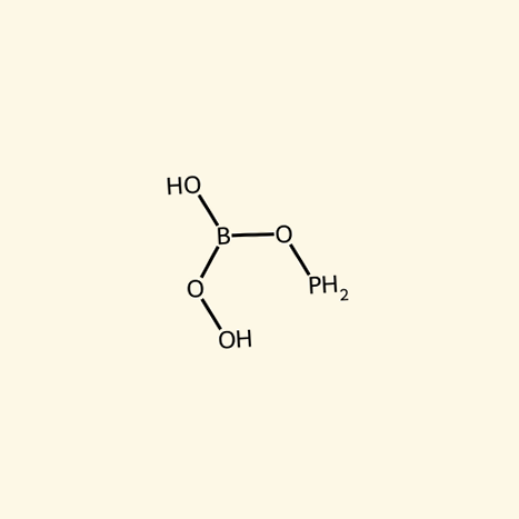 OOB(O)OP